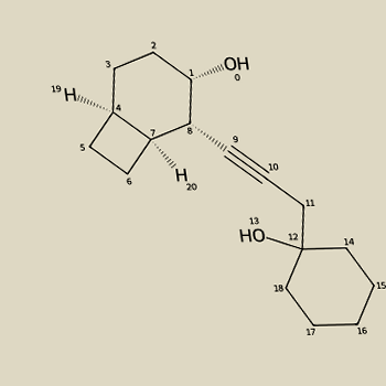 O[C@H]1CC[C@@H]2CC[C@@H]2[C@H]1C#CCC1(O)CCCCC1